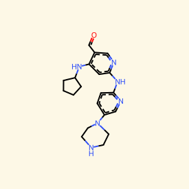 O=Cc1cnc(Nc2ccc(N3CCNCC3)cn2)cc1NC1CCCC1